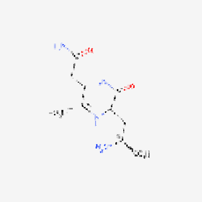 NC(=O)CC[C@H](NC(C[C@H](N)C(=O)O)C(N)=O)C(=O)O